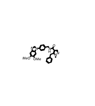 COc1cc2ncn(-c3ccc(CNC(=O)c4cnn(C)c4Cc4ccccc4)cc3)c2cc1OC